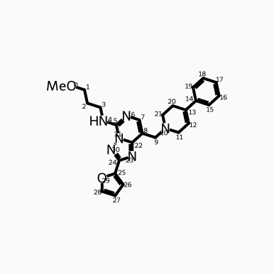 COCCCNc1ncc(CN2CC=C(c3ccccc3)CC2)c2nc(-c3ccco3)nn12